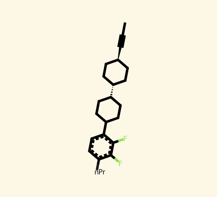 CC#C[C@H]1CC[C@H](C2CCC(c3ccc(CCC)c(F)c3F)CC2)CC1